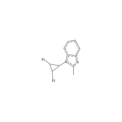 CCC1C(CC)C1n1c(C)nc2ccccc21